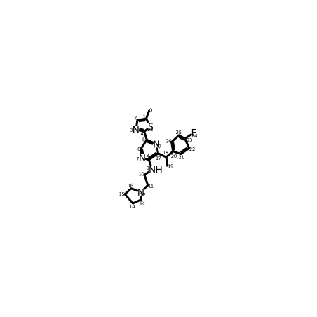 Cc1cnc(-c2cnc(NCCN3CCCC3)c(C(C)c3ccc(F)cc3)n2)s1